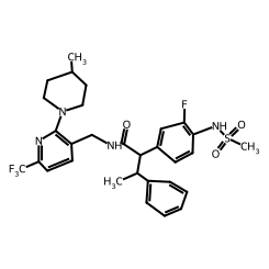 CC1CCN(c2nc(C(F)(F)F)ccc2CNC(=O)C(c2ccc(NS(C)(=O)=O)c(F)c2)C(C)c2ccccc2)CC1